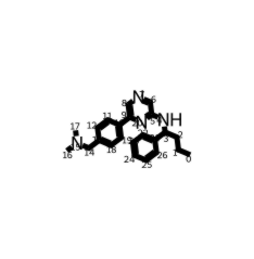 CCCC(Nc1cncc(-c2ccc(CN(C)C)cc2)n1)c1ccccc1